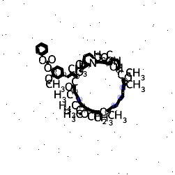 C=C1[C@H](C)C[C@H](C)/C=C/C=C/C=C(\C)[C@@H](OC)C[C@@H]2CC[C@@H](C)[C@@](O)(O2)C(=O)C(=O)N2CCCC[C@H]2C(=O)O[C@H]([C@H](C)C[C@@H]2CC[C@@H](OC(=O)Oc3ccccc3)[C@H](OC)C2)CC(=O)[C@H](C)/C=C(\C)[C@@H](C)[C@H]1OC